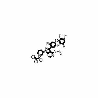 Nc1ncnc2c1c(-c1ccc(Oc3c(F)c(F)cc(F)c3F)cc1F)nn2[C@@H]1CCCN(C(=O)C(Cl)Cl)C1